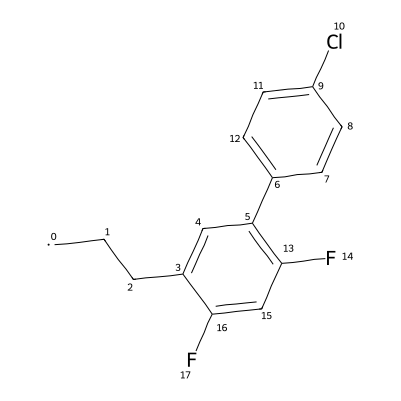 [CH2]CCc1cc(-c2ccc(Cl)cc2)c(F)cc1F